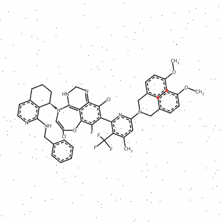 COc1ccc(CN(Cc2ccc(OC)cc2)c2cc(C)c(C(F)(F)F)c(-c3c(F)c4c5c(c3Cl)=NCNC=5N([C@@H]3CCCc5ccnc(NCc6ccccc6)c53)C=C(Cl)O4)n2)cc1